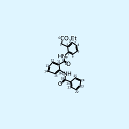 CCOC(=O)Cc1ccccc1NC(=O)c1ccccc1NC(=O)c1ccccc1